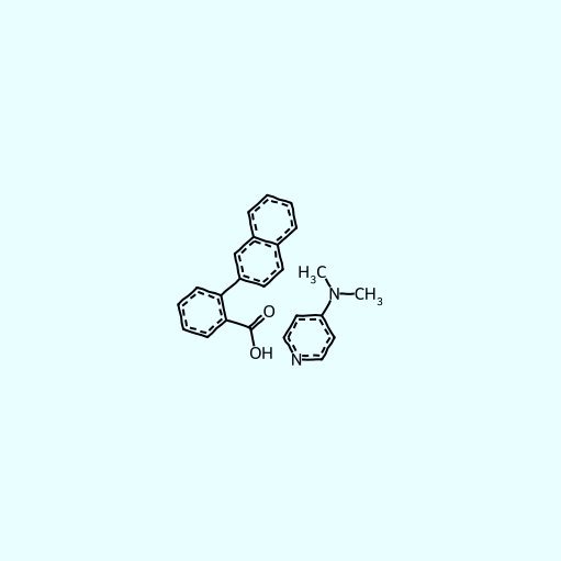 CN(C)c1ccncc1.O=C(O)c1ccccc1-c1ccc2ccccc2c1